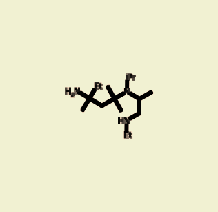 CCNCC(C)N(C(C)C)C(C)(C)CC(C)(N)CC